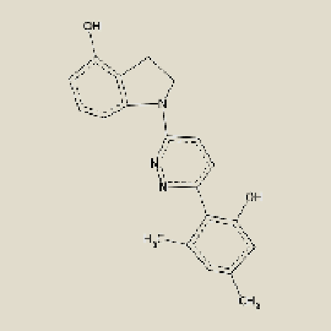 Cc1cc(C)c(-c2ccc(N3CCc4c(O)cccc43)nn2)c(O)c1